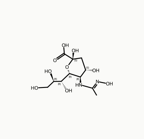 CC(=NO)N[C@H]1[C@H]([C@H](O)[C@H](O)CO)O[C@](O)(C(=O)O)C[C@@H]1O